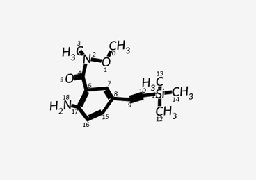 CON(C)C(=O)c1cc(C#C[Si](C)(C)C)ccc1N